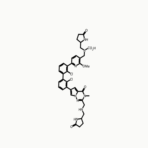 COc1nc(-c2cccc(-c3cccc(-c4cc5c(=O)n(C)c(CNCC6CCC(=O)N6)nn5c4)c3Cl)c2Cl)ccc1CN(CC1CCC(=O)N1)C(=O)O